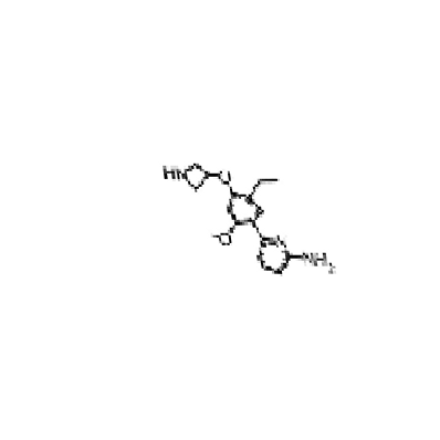 CCc1cc(-c2cccc(N)n2)c(OC)cc1OC1CNC1